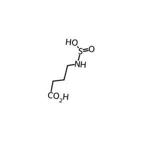 O=C(O)CCCNS(=O)O